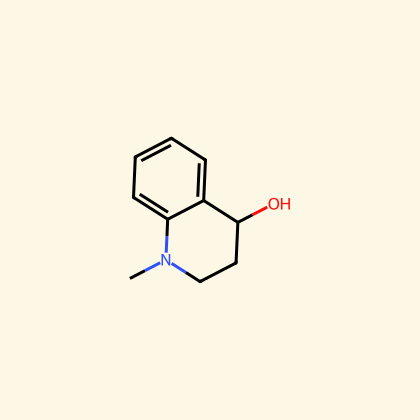 CN1CCC(O)c2ccccc21